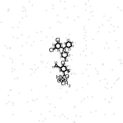 CS(=O)(=O)NC(=O)c1cc(C2CC2)c(OCC2CCN(C(c3ccccc3)c3cc(Cl)cc(Cl)c3)CC2)cc1F